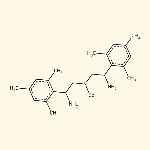 Cc1cc(C)c(C(N)C[N]([Co])CC(N)c2c(C)cc(C)cc2C)c(C)c1